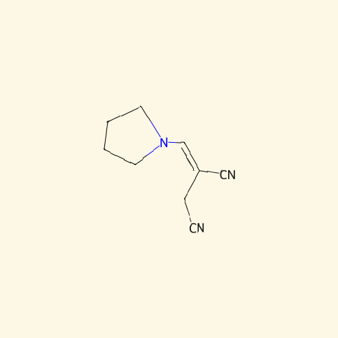 N#CC/C(C#N)=C\N1CCCC1